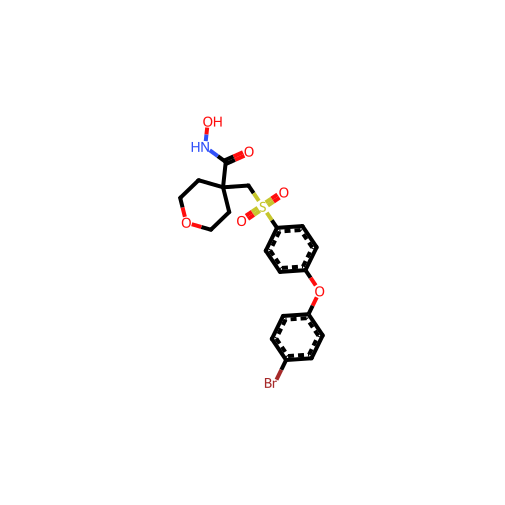 O=C(NO)C1(CS(=O)(=O)c2ccc(Oc3ccc(Br)cc3)cc2)CCOCC1